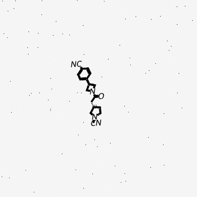 N#Cc1ccc(C2CN(C(=O)C[C@@H]3CCN(C#N)C3)C2)cc1